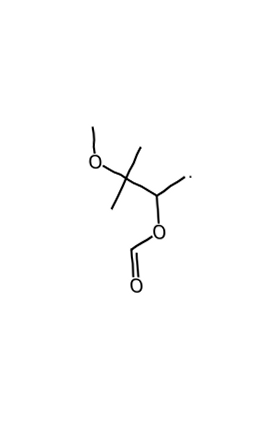 [CH2]C(OC=O)C(C)(C)OC